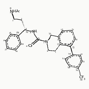 CC(=O)NCC[C@H](NC(=O)N1CCc2c(cccc2-c2ccc(C(F)(F)F)cc2)C1)c1ccccc1